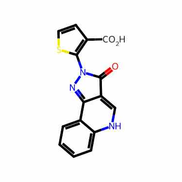 O=C(O)c1ccsc1-n1nc2c3ccccc3[nH]cc-2c1=O